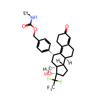 CCNC(=O)OCc1ccc([C@H]2C[C@@]3(C)[C@@H](CC[C@@]3(O)C(F)(F)C(F)(F)F)[C@@H]3CCC4=CC(=O)CCC4=C32)cc1